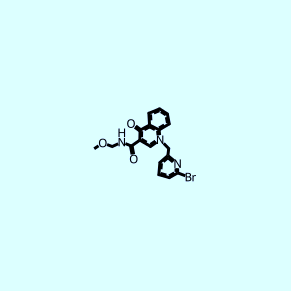 COCNC(=O)c1cn(Cc2cccc(Br)n2)c2ccccc2c1=O